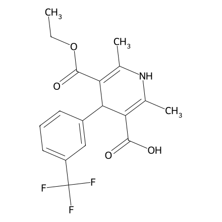 CCOC(=O)C1=C(C)NC(C)=C(C(=O)O)C1c1cccc(C(F)(F)F)c1